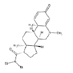 CCN(CC)C(=O)[C@H]1CC[C@H]2[C@@H]3CN(C)C4=CC(=O)C=C[C@]4(C)[C@H]3CC[C@]12C